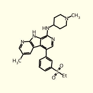 CCS(=O)(=O)c1cccc(-c2cnc(NC3CCN(C)CC3)c3[nH]c4ncc(C)cc4c23)c1